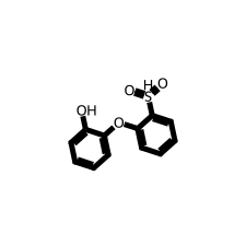 O=[SH](=O)c1ccccc1Oc1ccccc1O